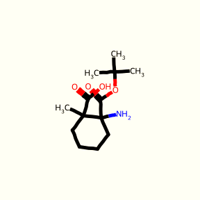 CC(C)(C)OC(=O)C1(N)CCCCC1(C)C(=O)O